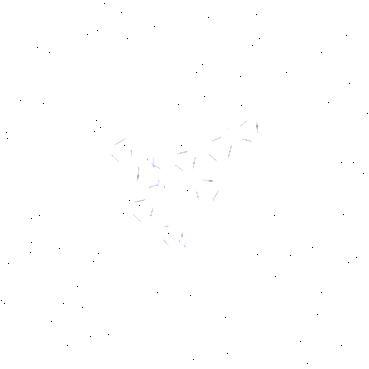 c1ccc(-c2cc(-c3cccc(-c4ccncc4)c3)nc(-c3ccc(-c4ccc5c(c4)oc4ccccc45)c4c3oc3ccccc34)n2)cc1